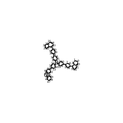 c1ccc2c(-c3ccc(-c4ccc(N(c5ccc(-c6ccc(-c7cccc8ccccc78)cc6)cc5)c5ccc(-c6ccc7oc8ccccc8c7c6)cc5)cc4)cc3)cccc2c1